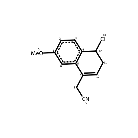 COc1ccc2c(c1)C(CC#N)=CCC2Cl